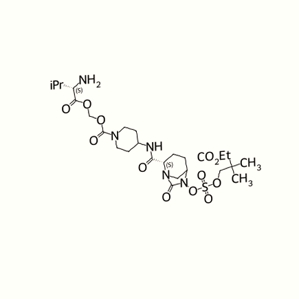 CCOC(=O)C(C)(C)COS(=O)(=O)ON1C(=O)N2CC1CC[C@H]2C(=O)NC1CCN(C(=O)OCOC(=O)[C@@H](N)C(C)C)CC1